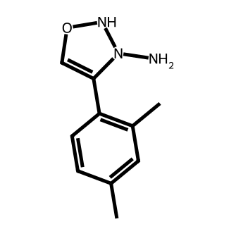 Cc1ccc(C2=CONN2N)c(C)c1